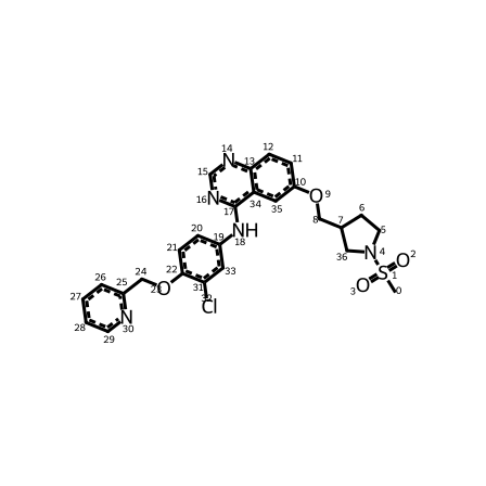 CS(=O)(=O)N1CCC(COc2ccc3ncnc(Nc4ccc(OCc5ccccn5)c(Cl)c4)c3c2)C1